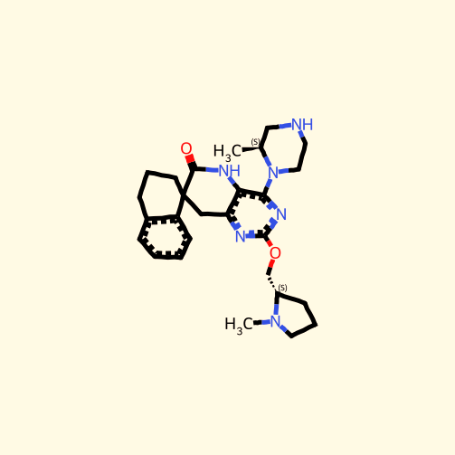 C[C@H]1CNCCN1c1nc(OC[C@@H]2CCCN2C)nc2c1NC(=O)C1(CCCc3ccccc31)C2